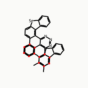 Cc1cc2c(c(-c3ccccc3-c3c(-c4ccccc4)nnnc3-c3c(-c4ccccc4)ccc4[se]c5ccccc5c34)c1C)Cc1ccccc1-2